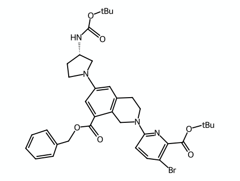 CC(C)(C)OC(=O)N[C@H]1CCN(c2cc3c(c(C(=O)OCc4ccccc4)c2)CN(c2ccc(Br)c(C(=O)OC(C)(C)C)n2)CC3)C1